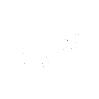 O=C(O)CC1CCC(Oc2ncc(-c3ccc(-c4nc5ccccc5[nH]4)c(F)c3)cn2)CC1